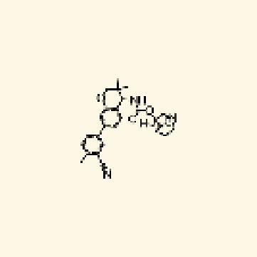 Cc1ccc(-c2ccc3c(c2)OCC(C)(C)C3NC(=O)O[C@H]2CN3CCC2CC3)cc1C#N